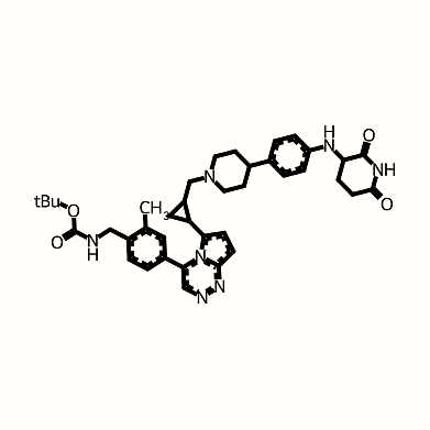 Cc1cc(-c2cnnc3ccc(C4CC4CN4CCC(c5ccc(NC6CCC(=O)NC6=O)cc5)CC4)n23)ccc1CNC(=O)OC(C)(C)C